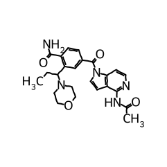 CCC(c1cc(C(=O)n2ccc3c(NC(C)=O)nccc32)ccc1C(N)=O)N1CCOCC1